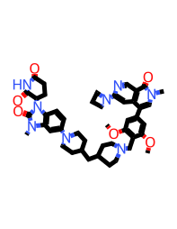 COc1cc(-c2cn(C)c(=O)c3cnc(N4CCC4)cc23)cc(OC)c1CN1CCC(CC2CCN(c3ccc4c(c3)n(C)c(=O)n4C3CCC(=O)NC3=O)CC2)CC1